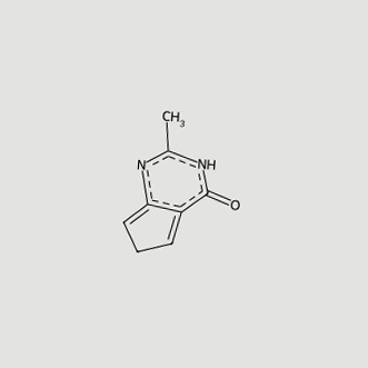 Cc1nc2c(c(=O)[nH]1)=CCC=2